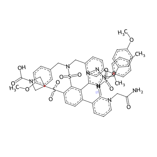 COc1ccc(CN(Cc2ccc(OC)cc2)S(=O)(=O)c2c(S(=O)(=O)C3CN(C(=O)O)C3)ccc(-c3cccn(CC(N)=O)/c3=N\S(=O)(=O)c3ccc(C)cc3)c2-c2nnn(Cc3ccc(OC)cc3)n2)cc1